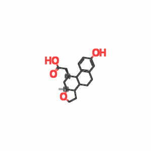 C[C@]12C[C@@H](CC(=O)O)C3c4ccc(O)cc4CCC3C1CCO2